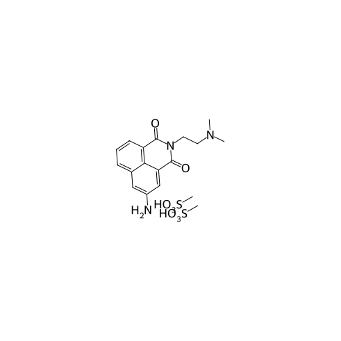 CN(C)CCN1C(=O)c2cccc3cc(N)cc(c23)C1=O.CS(=O)(=O)O.CS(=O)(=O)O